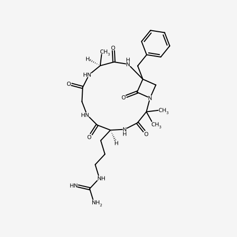 C[C@@H]1NC(=O)CNC(=O)[C@H](CCCNC(=N)N)NC(=O)C(C)(C)N2CC(Cc3ccccc3)(NC1=O)C2=O